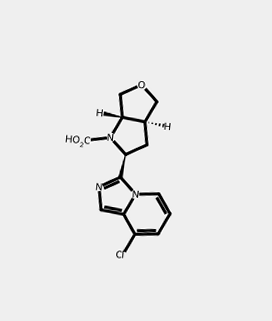 O=C(O)N1[C@@H]2COC[C@H]2C[C@H]1c1ncc2c(Cl)cccn12